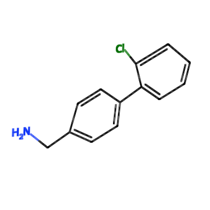 NCc1ccc(-c2ccccc2Cl)cc1